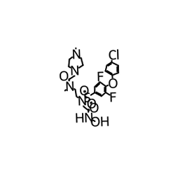 CN1CCN(CC(=O)N(C)CCN(CC(=O)NO)S(=O)(=O)c2cc(F)c(Oc3ccc(Cl)cc3)c(F)c2)CC1